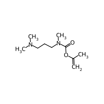 C=C(C)OC(=O)N(C)CCCN(C)C